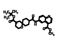 COC(=O)c1ccnc2ccc(NC(=O)C3CCC4(CC3)CN(C(=O)OC(C)(C)C)CCO4)cc12